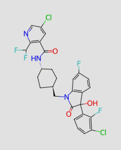 O=C(N[C@H]1CC[C@H](CN2C(=O)C(O)(c3cccc(Cl)c3F)c3ccc(F)cc32)CC1)c1cc(Cl)cnc1C(F)F